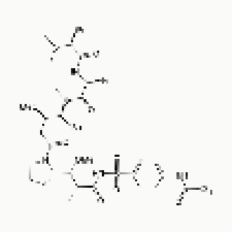 CC[C@H](C)[C@@H]([C@@H](CC(=O)N1CCC[C@H]1[C@H](OC)[C@@H](C)C(=O)NS(=O)(=O)c1ccc(NC(=O)C(F)(F)F)cc1)OC)N(C)C(=O)[C@@H](NC(=O)[C@H](C(C)C)N(C)C)C(C)C